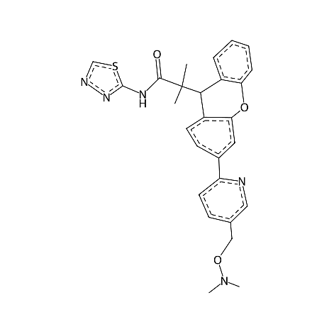 CN(C)OCc1ccc(-c2ccc3c(c2)Oc2ccccc2C3C(C)(C)C(=O)Nc2nncs2)nc1